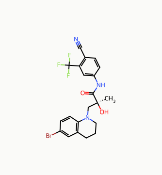 C[C@](O)(CN1CCCc2cc(Br)ccc21)C(=O)Nc1ccc(C#N)c(C(F)(F)F)c1